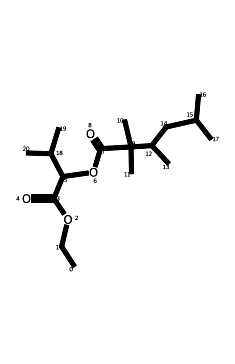 CCOC(=O)C(OC(=O)C(C)(C)C(C)CC(C)C)C(C)C